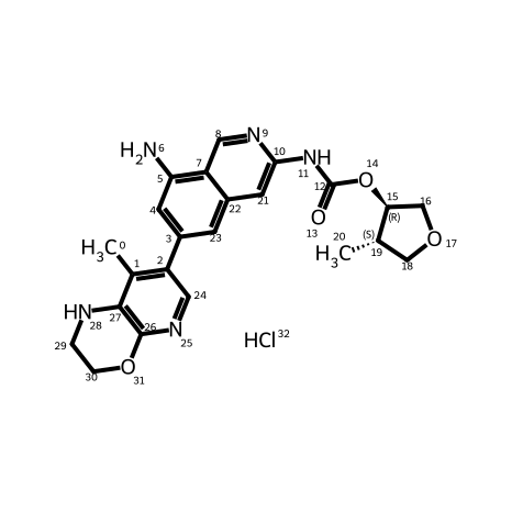 Cc1c(-c2cc(N)c3cnc(NC(=O)O[C@H]4COC[C@@H]4C)cc3c2)cnc2c1NCCO2.Cl